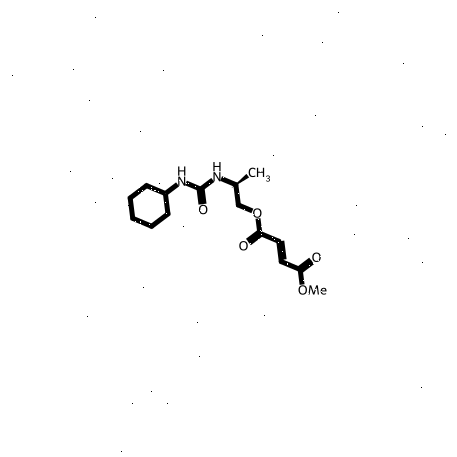 COC(=O)/C=C/C(=O)OC[C@H](C)NC(=O)NC1CCCCC1